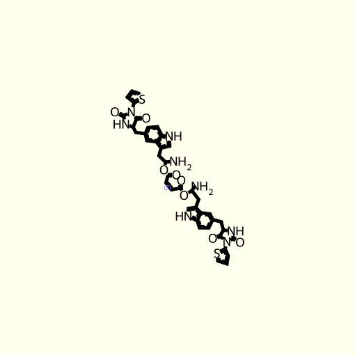 NC(Cc1c[nH]c2ccc(CC3NC(=O)N(c4cccs4)C3=O)cc12)OC(=O)/C=C\C(=O)OC(N)Cc1c[nH]c2ccc(CC3NC(=O)N(c4cccs4)C3=O)cc12